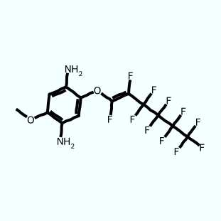 COc1cc(N)c(OC(F)=C(F)C(F)(F)C(F)(F)C(F)(F)C(F)(F)F)cc1N